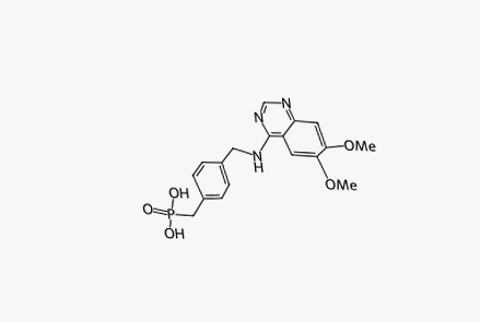 COc1cc2ncnc(NCc3ccc(CP(=O)(O)O)cc3)c2cc1OC